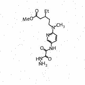 CCC(CCN(C)c1ccc(NC(=O)C(=O)NN)cn1)CC(=O)OC